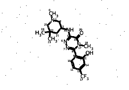 CN1CC(Nc2nnc(-c3ccc(C(F)(F)F)cc3O)n(C)c2=O)CC(C)(C)C1